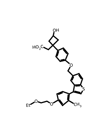 CCOCCOc1ccc(-c2csc3ccc(COc4ccc(C5(CC(=O)O)CC(O)C5)cc4)cc23)c(C)c1